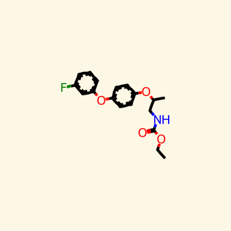 CCOC(=O)NCC(C)Oc1ccc(Oc2cccc(F)c2)cc1